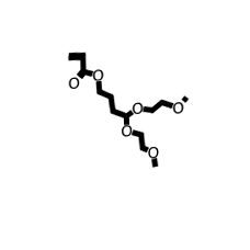 C=CC(=O)OCCCC(OCCOC)OCCOC